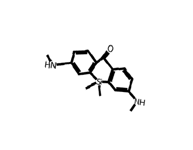 CNc1ccc2c(c1)[Si](C)(C)c1cc(NC)ccc1C2=O